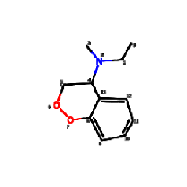 CCN(C)C1[C]OOc2ccccc21